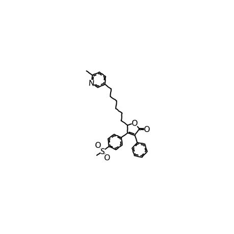 Cc1ccc(CCCCCCC2OC(=O)C(c3ccccc3)=C2c2ccc(S(C)(=O)=O)cc2)cn1